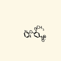 COc1cc([N+](=O)[O-])ccc1Oc1ncccn1